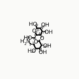 NC[C@H]1O[C@@H](O[C@H]2[C@H](O)[C@@H](O)C(O)O[C@@H]2CO)[C@H](O)[C@@H](O)[C@H]1O